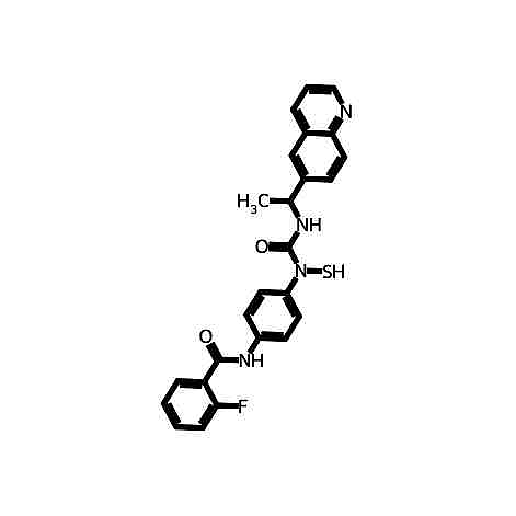 CC(NC(=O)N(S)c1ccc(NC(=O)c2ccccc2F)cc1)c1ccc2ncccc2c1